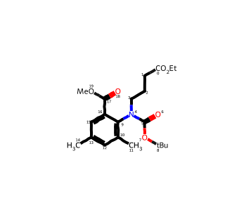 CCOC(=O)CCCN(C(=O)OC(C)(C)C)c1c(C)cc(C)cc1C(=O)OC